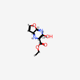 CCOC(=O)c1nc2ccoc2nc1O